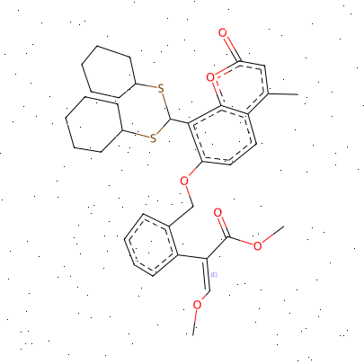 CO/C=C(/C(=O)OC)c1ccccc1COc1ccc2c(C)cc(=O)oc2c1C(SC1CCCCC1)SC1CCCCC1